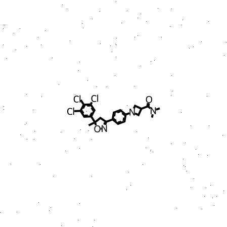 CN(C)C(=O)C1CN(c2ccc(C3=NOC(C)(c4cc(Cl)c(Cl)c(Cl)c4)C3)cc2)C1